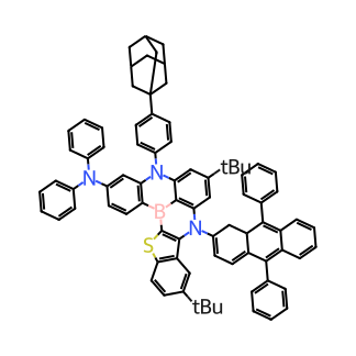 CC(C)(C)c1cc2c3c(c1)N(c1ccc(C45CC6CC(CC(C6)C4)C5)cc1)c1cc(N(c4ccccc4)c4ccccc4)ccc1B3c1sc3ccc(C(C)(C)C)cc3c1N2C1=CC=C2C(c3ccccc3)=c3ccccc3=C(c3ccccc3)C2C1